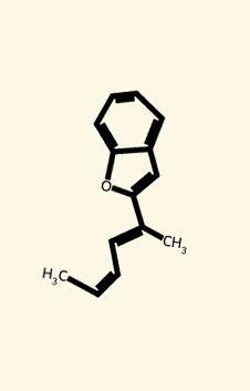 C/C=C\C=C(/C)c1cc2ccccc2o1